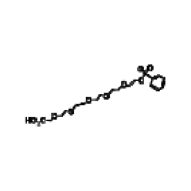 O=C(O)COCCOCCOCCOCCOCCOS(=O)(=O)c1ccccc1